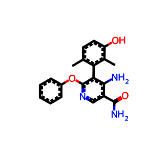 Cc1ccc(O)c(C)c1-c1c(Oc2ccccc2)ncc(C(N)=O)c1N